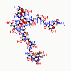 NC(=O)C[C@H](NC(=O)[C@H](CO)NC(=O)[C@H](CC(=O)O)NC(=O)[C@H](CO)NC(=O)[C@H](CC(=O)O)NC(=O)[C@H](CC(N)=O)NC(=O)[C@H](CO)NC(=O)[C@H](CC(=O)O)NC(=O)[C@H](CO)NC(=O)CNC(=O)[C@H](CO)NC(=O)CNC(=O)[C@H](CC(=O)O)NC(=O)[C@@H](N)CC(N)=O)C(=O)N[C@@H](CC(=O)O)C(=O)NCC(=O)N[C@@H](CO)C(=O)NCC(=O)N[C@@H](CO)C(=O)N[C@@H](CC(=O)O)C(=O)N[C@@H](CO)C(=O)O